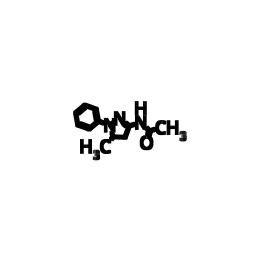 CC(=O)NC1=NN(c2ccccc2)C(C)C1